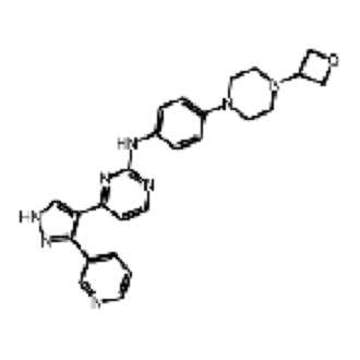 c1cncc(-c2n[nH]cc2-c2ccnc(Nc3ccc(N4CCN(C5COC5)CC4)cc3)n2)c1